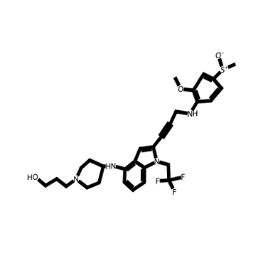 COc1cc([S+](C)[O-])ccc1NCC#Cc1cc2c(NC3CCN(CCCO)CC3)cccc2n1CC(F)(F)F